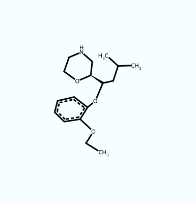 CCOc1ccccc1OC(CC(C)C)[C@@H]1CNCCO1